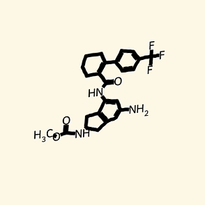 COC(=O)NC1Cc2cc(N)cc(NC(=O)C3=C(c4ccc(C(F)(F)F)cc4)CCCC3)c2C1